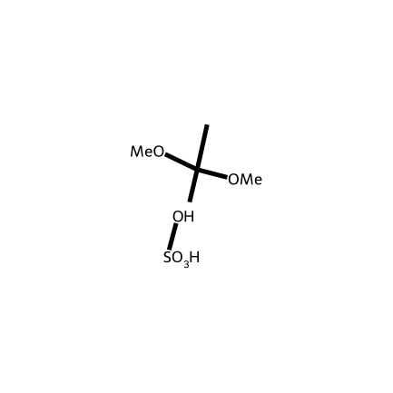 COC(C)(C)OC.O=S(=O)(O)O